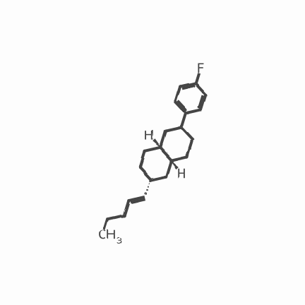 CCCC=C[C@@H]1CC[C@@H]2CC(c3ccc(F)cc3)CC[C@@H]2C1